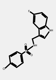 O=S(=O)(NCc1c[nH]c2ccc(F)cc12)c1ccc(Cl)cc1